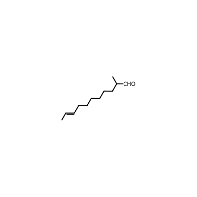 CC=CCCCCCCC(C)C=O